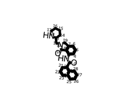 O=C(Nc1cccc2c1C(=O)N(CC1CCCCN1)C2)c1cccc2ccccc12